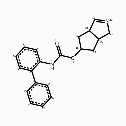 O=C(Nc1ccccc1-c1ccccc1)OC1CC2C=NCC2C1